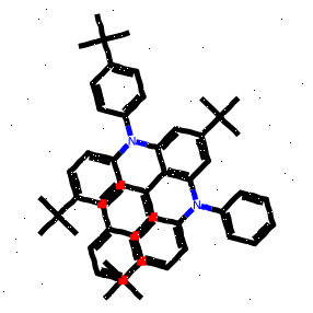 CC(C)(C)c1ccc(N(c2ccccc2)c2cc(C(C)(C)C)cc(N(c3ccc(C(C)(C)C)cc3)c3ccc(C(C)(C)C)cc3)c2-c2ccc3ccccc3c2)cc1